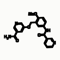 COc1ccc(NC(=O)c2cccnc2)cc1COc1cncc(C(N)=O)c1